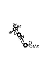 COC(=O)c1cccc(OCc2nc3ccc(Oc4nc(Br)c(Br)cc4Br)cc3n2C)c1